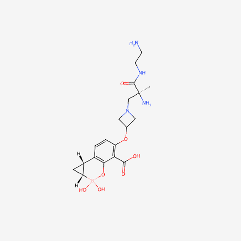 C[C@](N)(CN1CC(Oc2ccc3c(c2C(=O)O)O[B-](O)(O)[C@@H]2C[C@H]32)C1)C(=O)NCCN